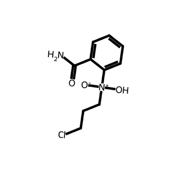 NC(=O)c1ccccc1[N+]([O-])(O)CCCCl